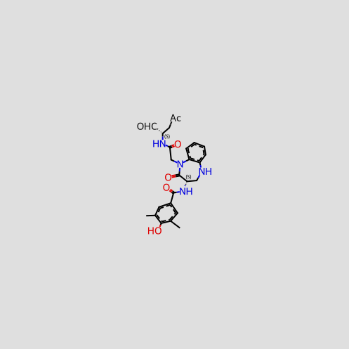 CC(=O)C[C@@H](C=O)NC(=O)CN1C(=O)[C@@H](NC(=O)c2cc(C)c(O)c(C)c2)CNc2ccccc21